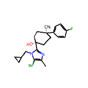 Cc1nc([C@]2(O)CC[C@](C#N)(c3ccc(F)cc3)CC2)n(CC2CC2)c1Br